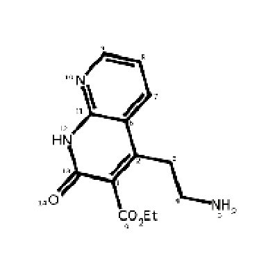 CCOC(=O)c1c(CCN)c2cccnc2[nH]c1=O